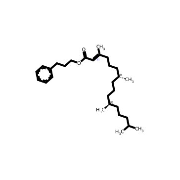 C/C(=C\C(=O)OCCCc1ccccc1)CCC[C@H](C)CCC[C@H](C)CCCC(C)C